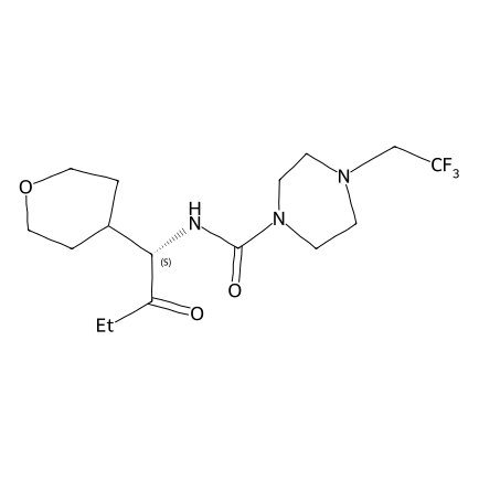 CCC(=O)[C@@H](NC(=O)N1CCN(CC(F)(F)F)CC1)C1CCOCC1